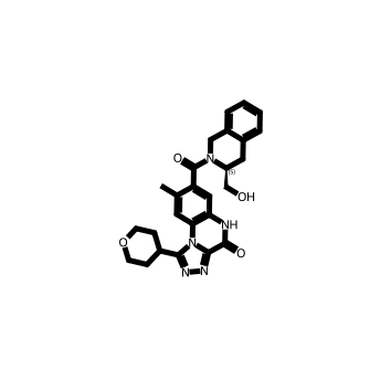 Cc1cc2c(cc1C(=O)N1Cc3ccccc3C[C@H]1CO)[nH]c(=O)c1nnc(C3CCOCC3)n12